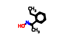 CCc1ccccc1C(C)=NO